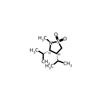 CC(C)[C@H]1CS(=O)(=O)N(C)[C@H]1C(C)C